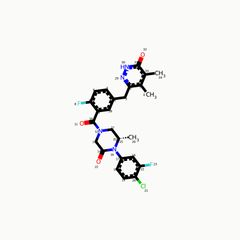 Cc1c(Cc2ccc(F)c(C(=O)N3CC(=O)N(c4ccc(Cl)c(F)c4)[C@@H](C)C3)c2)n[nH]c(=O)c1C